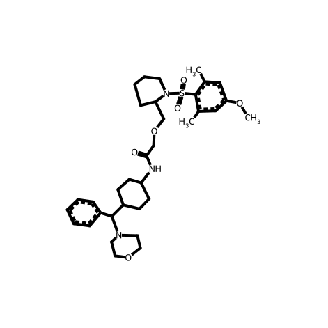 COc1cc(C)c(S(=O)(=O)N2CCCCC2COCC(=O)NC2CCC(C(c3ccccc3)N3CCOCC3)CC2)c(C)c1